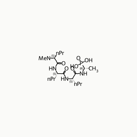 CCC[C@H](NC)C(=O)N[C@@H](CCC)C(=O)N[C@@H](CCC)C(=O)N[C@@H](C)P(=O)(O)O